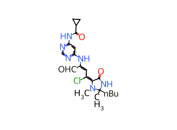 CCCCC1(C)NC(=O)/C(=C(Cl)\C=C(/C=O)Nc2cc(NC(=O)C3CC3)ncn2)N1C